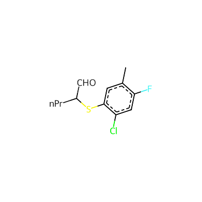 CCCC(C=O)Sc1cc(C)c(F)cc1Cl